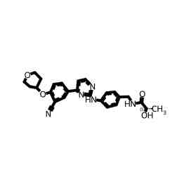 C[C@H](O)C(=O)NCc1ccc(Nc2nccc(-c3ccc(OC4CCOCC4)c(C#N)c3)n2)cc1